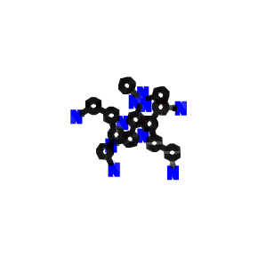 N#Cc1cccc(-c2ccc3c(c2)c2cc(-c4cccc(C#N)c4)ccc2n3-c2ccc(C#N)cc2-c2ccc(-c3nc(-c4ccccc4)nc(-c4ccccc4)n3)cc2-n2c3ccc(-c4cccc(C#N)c4)cc3c3cc(-c4cccc(C#N)c4)ccc32)c1